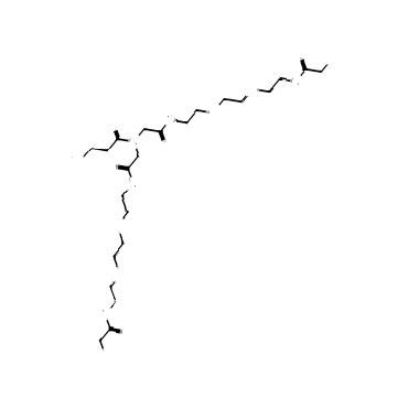 CC(=O)CCC(=O)N(CC(=O)NCCOCCOCCNC(=O)CBr)CC(=O)NCCOCCOCCNC(=O)CBr